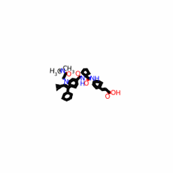 CN(C)C(=O)Cn1c(C2CC2)c(C2CCCCC2)c2ccc(C(=O)NC3(C(=O)Nc4ccc(C=CC(=O)O)cc4)CCCC3)cc21